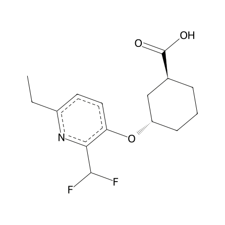 CCc1ccc(O[C@H]2CCC[C@H](C(=O)O)C2)c(C(F)F)n1